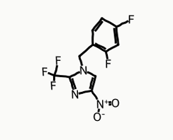 O=[N+]([O-])c1cn(Cc2ccc(F)cc2F)c(C(F)(F)F)n1